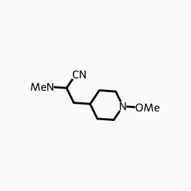 CNC(C#N)CC1CCN(OC)CC1